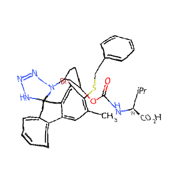 Cc1cc2c(c(Br)c1SCc1ccccc1)C1(NN=NN1C1CC1OC(=O)N[C@H](C(=O)O)C(C)C)c1ccccc1-2